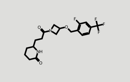 O=C1CCCC(CCC(=O)N2CC(OCc3ccc(C(F)(F)F)cc3F)C2)N1